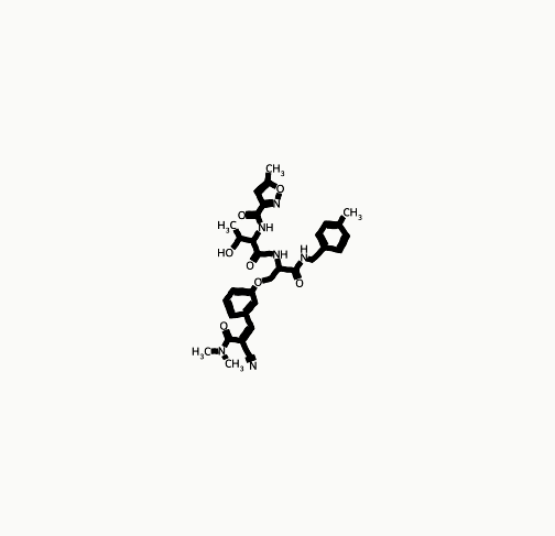 Cc1ccc(CNC(=O)C(COc2cccc(C=C(C#N)C(=O)N(C)C)c2)NC(=O)C(NC(=O)c2cc(C)on2)C(C)O)cc1